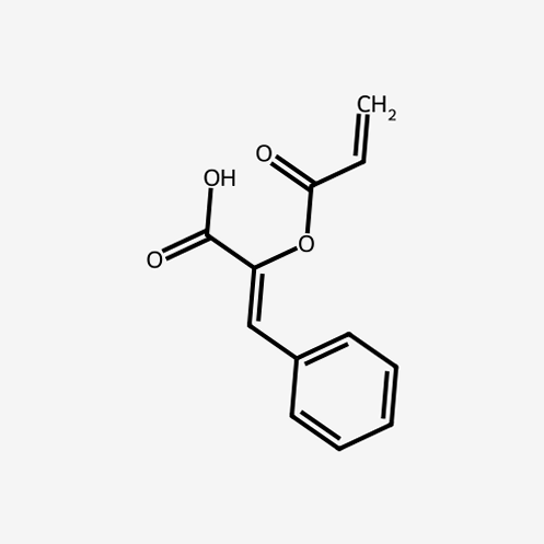 C=CC(=O)OC(=Cc1ccccc1)C(=O)O